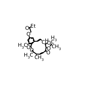 CCC(=O)COc1cc(C)c2c(c1)/C=C/C[C@@H]1OC(C)(C)OC1C(=O)/C=C\[C@@H](C)[C@H](C)OC2=O